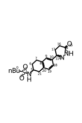 CCCCS(=O)(=O)NC1CCc2cc(C3=NNC(=O)CC3)ccc2C1